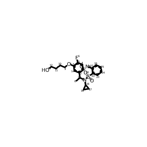 CC(c1ccc(F)c(OCCCCO)c1)N(C1CC1)S(=O)(=O)c1ccccc1[N+](=O)[O-]